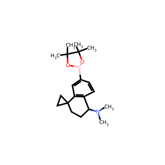 CN(C)C1CCC2(CC2)c2cc(B3OC(C)(C)C(C)(C)O3)ccc21